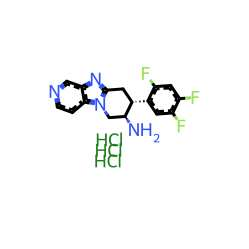 Cl.Cl.Cl.N[C@H]1Cn2c(nc3cnccc32)C[C@@H]1c1cc(F)c(F)cc1F